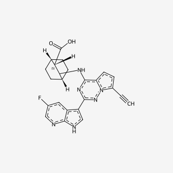 C#Cc1ccc2c(NC3[C@H]4CC[C@H](CC4)[C@@H]3C(=O)O)nc(-c3c[nH]c4ncc(F)cc34)nn12